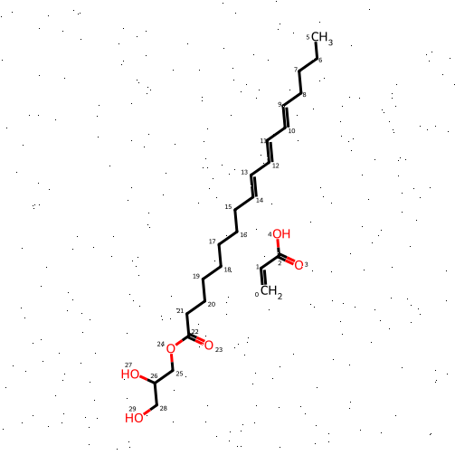 C=CC(=O)O.CCCCC=CC=CC=CCCCCCCCC(=O)OCC(O)CO